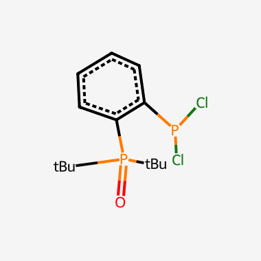 CC(C)(C)P(=O)(c1ccccc1P(Cl)Cl)C(C)(C)C